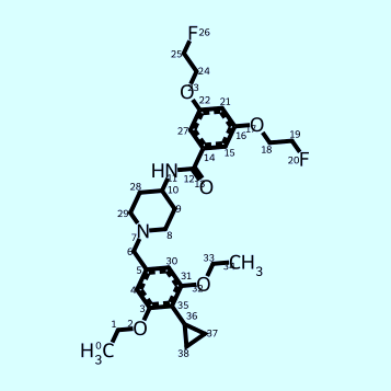 CCOc1cc(CN2CCC(NC(=O)c3cc(OCCF)cc(OCCF)c3)CC2)cc(OCC)c1C1CC1